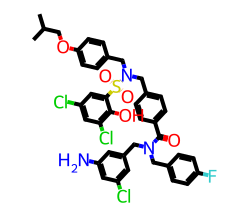 CC(C)COc1ccc(CN(Cc2ccc(C(=O)N(Cc3ccc(F)cc3)Cc3cc(N)cc(Cl)c3)cc2)S(=O)(=O)c2cc(Cl)cc(Cl)c2O)cc1